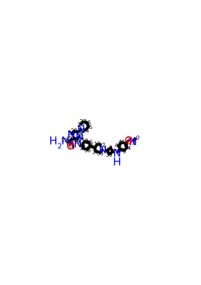 C=NOC1=CC=C(N[C@H]2C[C@@H](N3CCC(c4ccc(Nc5nc(N6CCCCC6)cnc5C(N)=O)cc4)CC3)C2)CC1